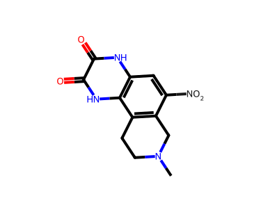 CN1CCc2c(c([N+](=O)[O-])cc3[nH]c(=O)c(=O)[nH]c23)C1